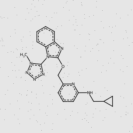 Cn1nnnc1-n1c(OCc2cccc(NCC3CC3)n2)nc2ccccc21